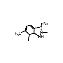 CCCCN1C2=CC=C(C(F)(F)F)C(C)C2NN1C